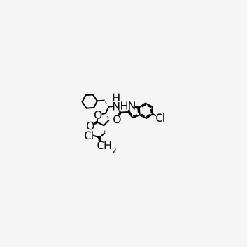 C=C(Cl)C[C@H]1C[C@@H]([C@H](CC2CCCCC2)NC(=O)c2cc3cc(Cl)ccc3[nH]2)OC1=O